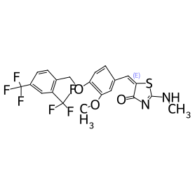 CNC1=NC(=O)/C(=C\c2ccc(OCc3ccc(C(F)(F)F)cc3C(F)(F)F)c(OC)c2)S1